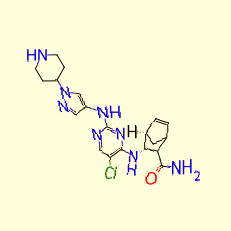 NC(=O)C1C2C=C[C@@H](C2)[C@H]1Nc1nc(Nc2cnn(C3CCNCC3)c2)ncc1Cl